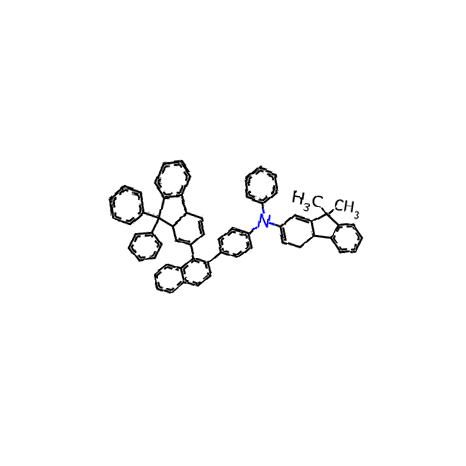 CC1(C)C2=CC(N(c3ccccc3)c3ccc(-c4ccc5ccccc5c4C4=CC5C(C=C4)c4ccccc4C5(c4ccccc4)c4ccccc4)cc3)=CCC2c2ccccc21